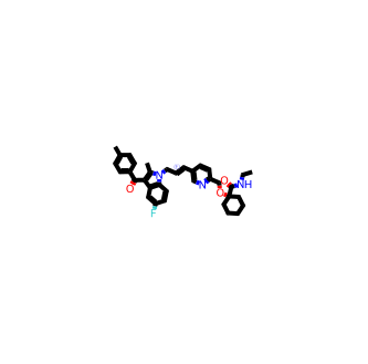 CCNC(=O)C1(OCc2ccc(/C=C/Cn3c(C)c(C(=O)c4ccc(C)cc4)c4cc(F)ccc43)cn2)CCCCC1